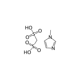 Cn1ccnc1.O=S(=O)(O)CS(=O)(=O)O